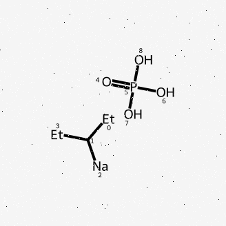 CC[CH]([Na])CC.O=P(O)(O)O